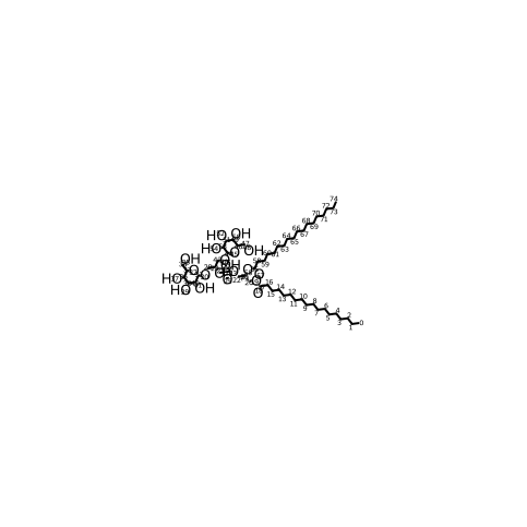 CCCCCCCCCCCCCCCCCC(=O)OC[C@H](COP(=O)(O)OC(COC1OC(CO)C(O)C(O)C1O)COC1OC(CO)C(O)C(O)C1O)OC(=O)CCCCCCCCCCCCCCCCC